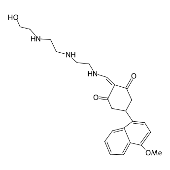 COc1ccc(C2CC(=O)C(=CNCCNCCNCCO)C(=O)C2)c2ccccc12